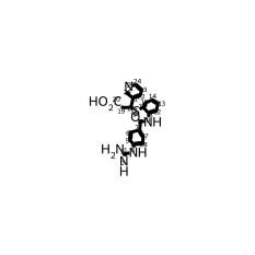 N=C(N)Nc1ccc(C(=O)Nc2ccccc2SC(CC(=O)O)c2cccnc2)cc1